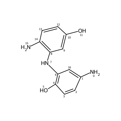 Nc1ccc(O)c(Nc2cc(O)ccc2N)c1